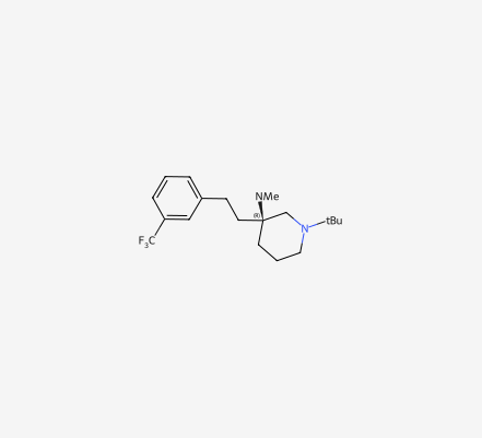 CN[C@]1(CCc2cccc(C(F)(F)F)c2)CCCN(C(C)(C)C)C1